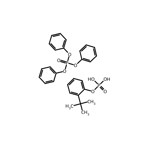 CC(C)(C)c1ccccc1OP(=O)(O)O.O=P(Oc1ccccc1)(Oc1ccccc1)Oc1ccccc1